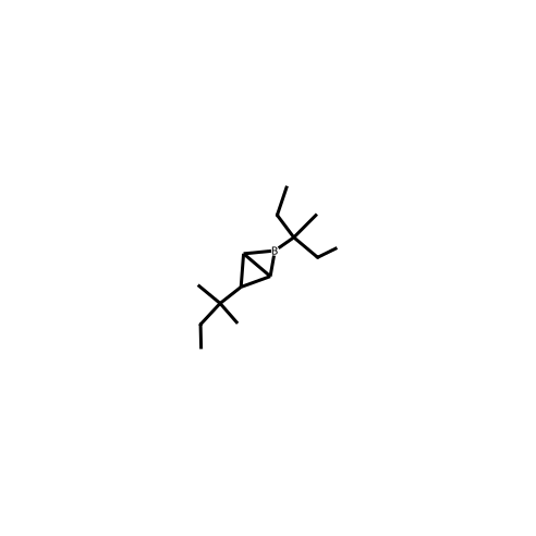 CCC(C)(CC)B1C2C1C2C(C)(C)CC